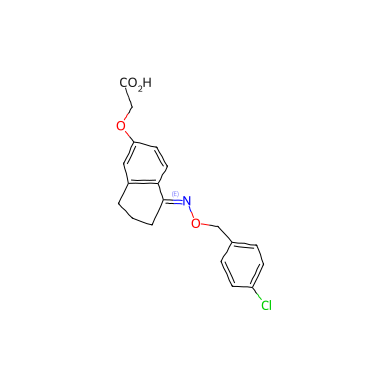 O=C(O)COc1ccc2c(c1)CCC/C2=N\OCc1ccc(Cl)cc1